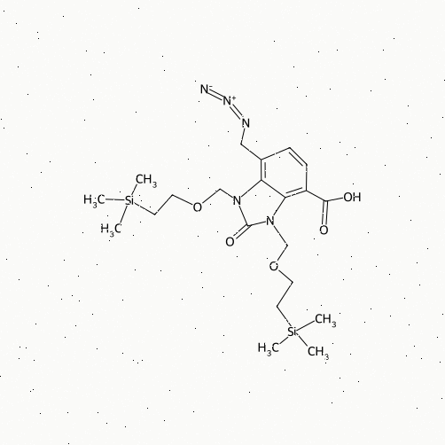 C[Si](C)(C)CCOCn1c(=O)n(COCC[Si](C)(C)C)c2c(C(=O)O)ccc(CN=[N+]=[N-])c21